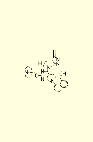 CCc1cccc2cccc(N3CCc4c(nc(OCC56CCCN5CCC6)nc4N(C)Cc4c[nH]nn4)C3)c12